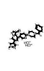 C[C@@H](c1ccccc1)N1CCN(c2ccc(-c3cc(-c4cnn(C)c4)cn4ncc(C#N)c34)cn2)CC1.Cl.Cl